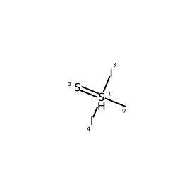 C[SH](=S)(I)I